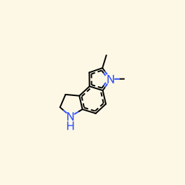 Cc1cc2c3c(ccc2n1C)NCC3